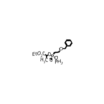 CCOC(=O)C(C)OP(=O)(CCOCc1ccccc1)OP